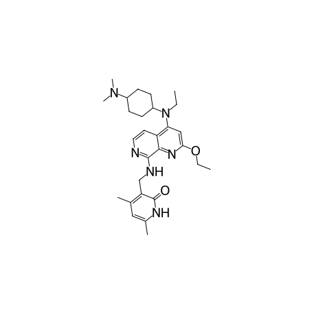 CCOc1cc(N(CC)C2CCC(N(C)C)CC2)c2ccnc(NCc3c(C)cc(C)[nH]c3=O)c2n1